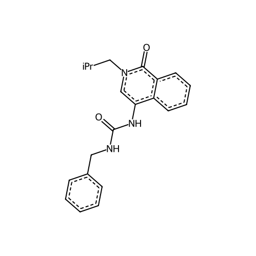 CC(C)Cn1cc(NC(=O)NCc2ccccc2)c2ccccc2c1=O